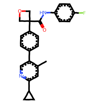 Cc1cc(C2CC2)ncc1-c1ccc(C2(C(=O)Nc3ccc(F)cc3)COC2)cc1